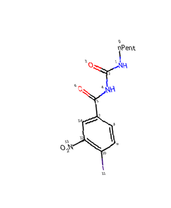 CCCCCNC(=O)NC(=O)c1ccc(I)c([N+](=O)[O-])c1